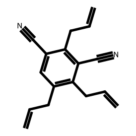 C=CCc1cc(C#N)c(CC=C)c(C#N)c1CC=C